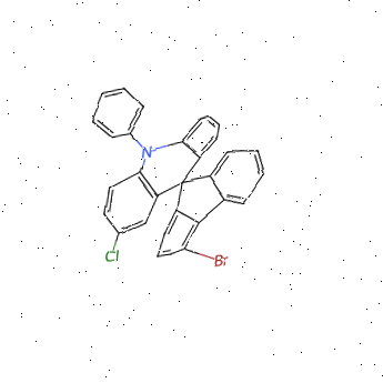 Clc1ccc2c(c1)C1(c3ccccc3-c3c(Br)cccc31)c1ccccc1N2c1ccccc1